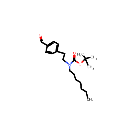 CCCCCCCN(CCc1ccc(C=O)cc1)C(=O)OC(C)(C)C